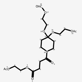 CC(=O)OCCOC(=O)CCC(=O)N1CCC(OCCOC=O)(OCCOC(C)=O)CC1